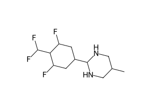 CC1CNC(C2CC(F)C(C(F)F)C(F)C2)NC1